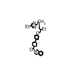 CCc1cnc(N(C)CCC(CC)COc2ccc(C3=CCC(C(=O)N4CCc5ccccc5C4)CC3)cc2)nc1